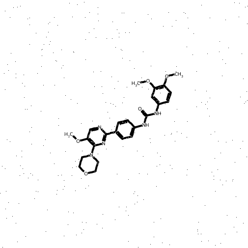 COc1ccc(NC(=O)Nc2ccc(-c3ncc(OC)c(N4CCOCC4)n3)cc2)cc1OC